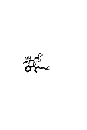 C=C/C(=C\C=CC=O)C1=N[C@H](CC(=O)OC)c2nnc(C)n2-c2ccccc21